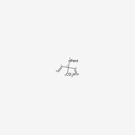 C=CC(C=C)(CCCCC)C(=O)O